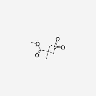 COC(=O)C1(C)CS(=O)(=O)C1